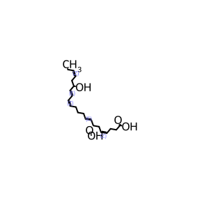 CC/C=C\CC(O)/C=C/C=C\CCC/C=C/C(C/C=C\CCC(=O)O)OO